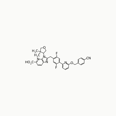 CC1(C)COCC1n1c(Cc2cc(F)c(-c3cccc(OCc4ccc(C#N)cc4)n3)cc2F)nc2ccc(C(=O)O)nc21